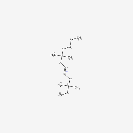 CCOCC(C)(C)C/C=C/CC(C)(C)CO